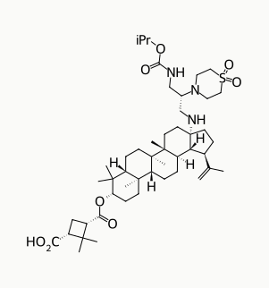 C=C(C)[C@@H]1CC[C@]2(NC[C@H](CNC(=O)OC(C)C)N3CCS(=O)(=O)CC3)CC[C@]3(C)[C@H](CC[C@@H]4[C@@]5(C)CC[C@H](OC(=O)[C@H]6C[C@@H](C(=O)O)C6(C)C)C(C)(C)[C@@H]5CC[C@]43C)[C@@H]12